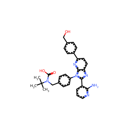 CC(C)(C)N(Cc1ccc(-n2c(-c3cccnc3N)nc3ccc(-c4ccc(CO)cc4)nc32)cc1)C(=O)O